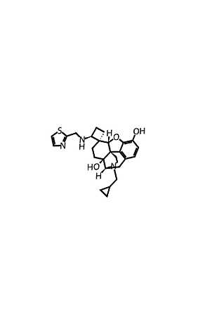 Oc1ccc2c3c1O[C@H]1[C@@]4(CC[C@@H]4NCc4nccs4)CC[C@@]4(O)[C@@H](C2)N(CC2CC2)CC[C@]314